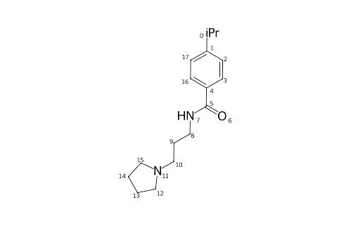 CC(C)c1ccc(C(=O)NCCCN2CCCC2)cc1